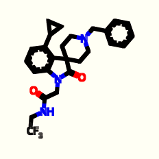 O=C(CN1C(=O)C2(CCN(Cc3ccccc3)CC2)c2c(C3CC3)cccc21)NCC(F)(F)F